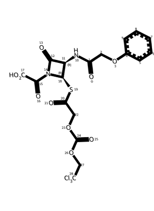 O=C(COc1ccccc1)N[C@@H]1C(=O)N(C(=O)C(=O)O)[C@@H]1SC(=O)COC(=O)OCC(Cl)(Cl)Cl